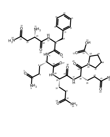 NC(=O)CC[C@H](NC(=O)[C@H](Cc1ccccc1)NC(=O)[C@@H](N)CC(N)=O)C(=O)N[C@@H](CCC(N)=O)C(=O)N[C@@H](CCC(N)=O)C(=O)N1CCC[C@H]1C(=O)O